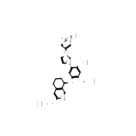 [CH2]c1cc(OC)c(OC2CCCc3cc(OC)ncc32)cc1N1C=CN(c2cnn(C)c2)C1